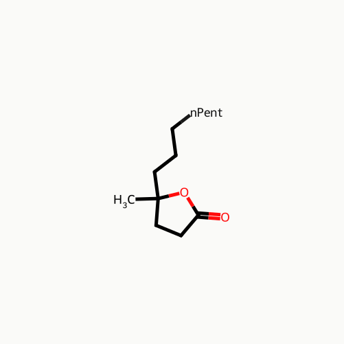 CCCCCCCCC1(C)CCC(=O)O1